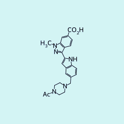 CC(=O)N1CCN(Cc2ccc3[nH]c(-c4nn(C)c5cc(C(=O)O)ccc45)cc3c2)CC1